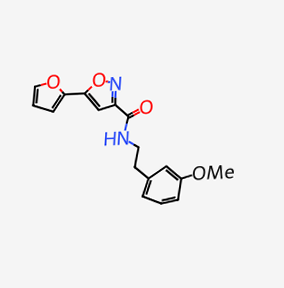 COc1cccc(CCNC(=O)c2cc(-c3ccco3)on2)c1